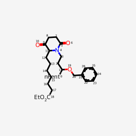 CCCCCC(CCN1C(=O)CCC(=O)C1CCCCCCC(=O)OCC)OCc1ccccc1